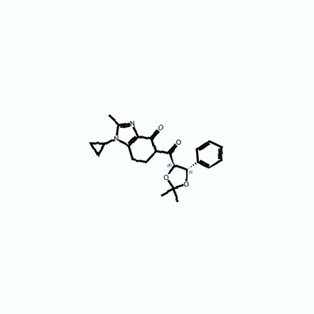 Cc1nc2c(n1C1CC1)CCC(C(=O)[C@@H]1OC(C)(C)O[C@H]1c1ccccc1)C2=O